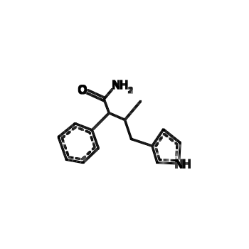 CC(Cc1cc[nH]c1)C(C(N)=O)c1ccccc1